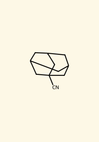 N#CC12C[C]3CC(CC(C3)C1)C2